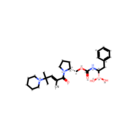 CC(C)(C=C(C#N)C(=O)N1CCC[C@@H]1COC(=O)NC(Cc1ccccc1)B(O)O)N1CCCCC1